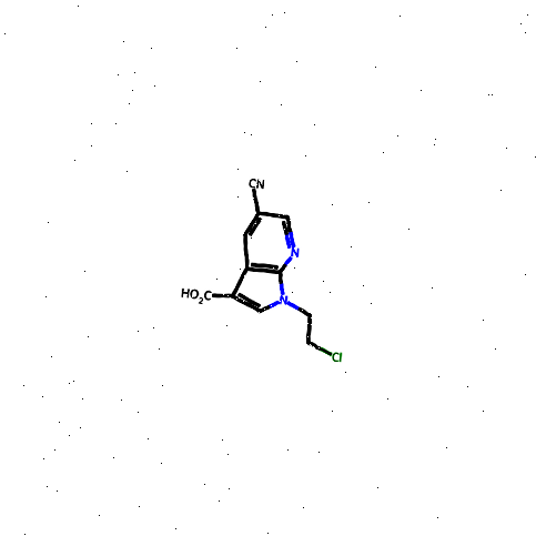 N#Cc1cnc2c(c1)c(C(=O)O)cn2CCCl